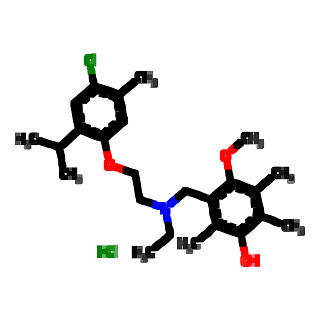 CCN(CCOc1cc(C)c(Cl)cc1C(C)C)Cc1c(C)c(O)c(C)c(C)c1OC.Cl